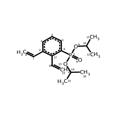 C=Cc1cccc(P(=O)(OC(C)C)OC(C)C)c1C=C